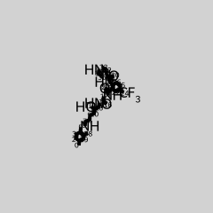 Cc1ccc(CNCCCCC(O)CNC(=O)CNC(=O)c2cc(C(F)(F)F)ccc2NC(=O)N2CCNCC2)c(C)c1